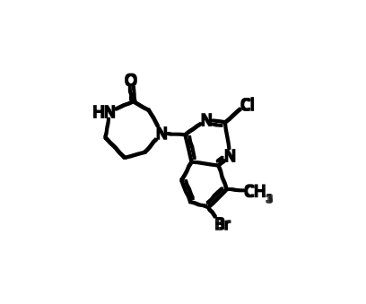 Cc1c(Br)ccc2c(N3CCCNC(=O)C3)nc(Cl)nc12